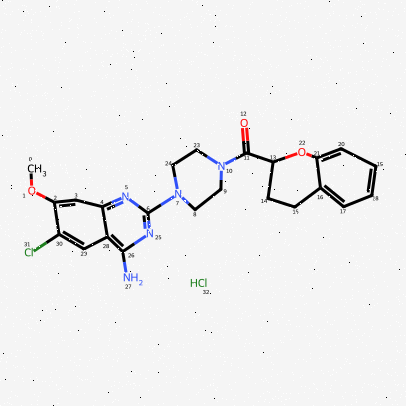 COc1cc2nc(N3CCN(C(=O)C4CCc5ccccc5O4)CC3)nc(N)c2cc1Cl.Cl